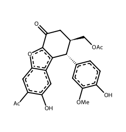 COc1cc([C@@H]2c3c(oc4cc(C(C)=O)c(O)cc34)C(=O)C[C@H]2COC(C)=O)ccc1O